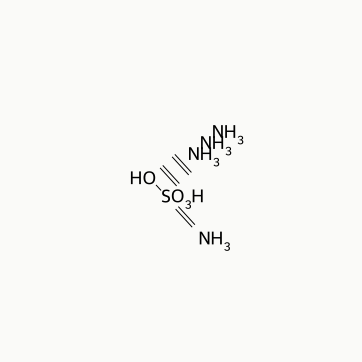 C=C.C=C.C=C.N.N.N.N.O=S(=O)(O)O